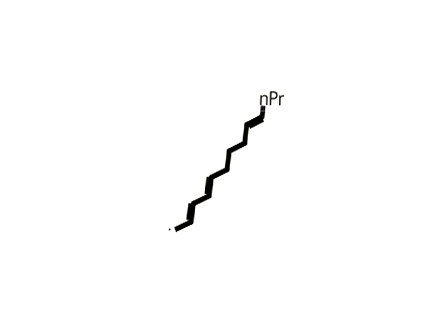 [CH2]C=CC=CCCCC=CCCC